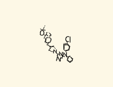 CC(C)(C)OC(=O)COCC1CCN(c2cncc(N(c3ccccc3)c3ccc(Cl)cc3)n2)CC1